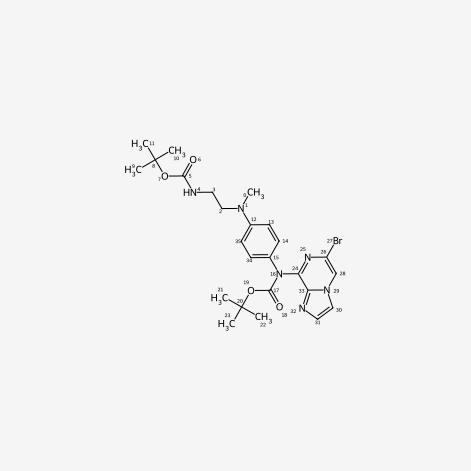 CN(CCNC(=O)OC(C)(C)C)c1ccc(N(C(=O)OC(C)(C)C)c2nc(Br)cn3ccnc23)cc1